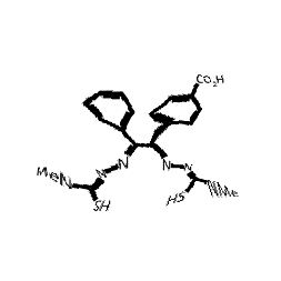 CN/C(S)=N/N=C(/C(=N/N=C(\S)NC)c1ccc(C(=O)O)cc1)c1ccccc1